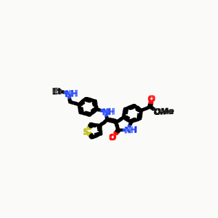 CCNCc1ccc(NC(=C2C(=O)Nc3cc(C(=O)OC)ccc32)c2ccsc2)cc1